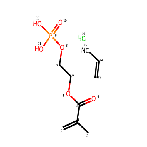 C=C(C)C(=O)OCCOP(=O)(O)O.C=CC#N.Cl